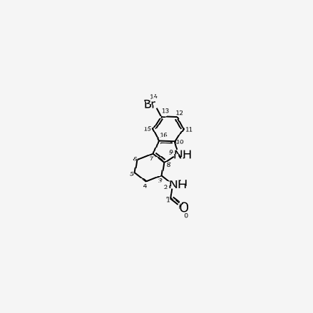 O=CNC1CCCc2c1[nH]c1ccc(Br)cc21